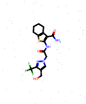 NC(=O)c1c(NC(=O)Cn2cc(CO)c(C(F)(F)F)n2)sc2c1CCCC2